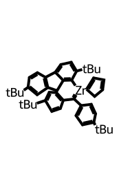 CC(C)(C)c1ccc([C](c2ccc(C(C)(C)C)cc2)=[Zr]([C]2=CC=CC2)[c]2c(C(C)(C)C)ccc3c2Cc2cc(C(C)(C)C)ccc2-3)cc1